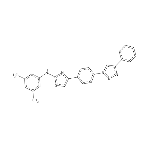 Cc1cc(C)cc(Nc2nc(-c3ccc(-n4cc(-c5ccccc5)nn4)cc3)cs2)c1